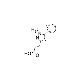 Cn1nc(CCC(=O)O)nc1-c1ccccn1